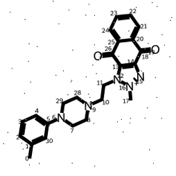 Cc1cccc(N2CCN(CCn3c4c(n[n+]3C)C(=O)c3ccccc3C4=O)CC2)c1